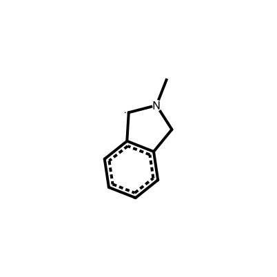 CN1[CH]c2ccccc2C1